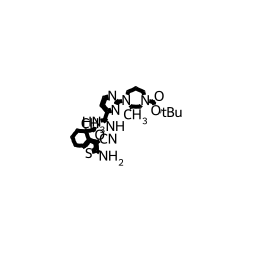 C[C@H]1CN(C(=O)OC(C)(C)C)CCCN1c1nccc(C(=N)NC(=O)[C@@]2(C)CCCc3sc(N)c(C#N)c32)n1